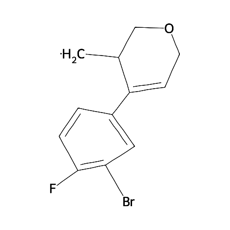 [CH2]C1COCC=C1c1ccc(F)c(Br)c1